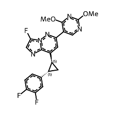 COc1ncc(-c2cc([C@H]3C[C@@H]3c3ccc(F)c(F)c3)c3ncc(F)n3n2)c(OC)n1